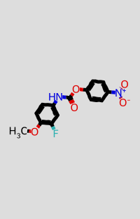 COc1ccc(NC(=O)Oc2ccc([N+](=O)[O-])cc2)cc1F